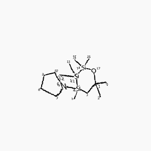 CC1(C)C[Si](C)(N2CCCC2)[Si](C)(C)[Si](C)(C)O1